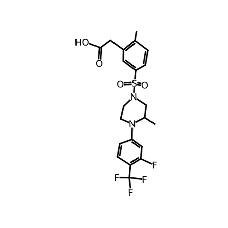 Cc1ccc(S(=O)(=O)N2CCN(c3ccc(C(F)(F)F)c(F)c3)C(C)C2)cc1CC(=O)O